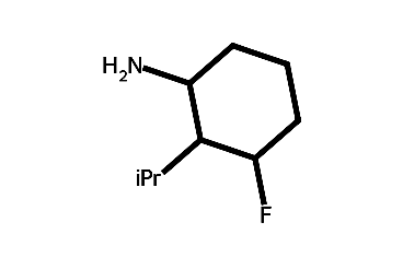 CC(C)C1C(N)CCCC1F